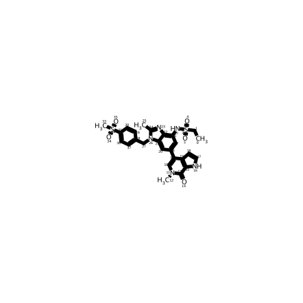 CCS(=O)(=O)Nc1cc(-c2cn(C)c(=O)c3[nH]ccc23)cc2c1nc(C)n2Cc1ccc(S(C)(=O)=O)cc1